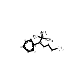 [CH2]C(C)(N)C(CCCC)c1ccccc1